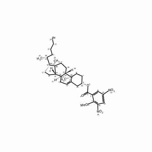 COc1c(C(=O)O[C@H]2CC[C@@]3(C)C(=CC[C@H]4[C@@H]5CC[C@H]([C@H](C)CCCC(C)C)[C@@]5(C)CC[C@@H]43)C2)cc([N+](=O)[O-])cc1[N+](=O)[O-]